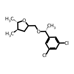 C[C@@H]1CC(CO[C@H](C)c2cc(Cl)cc(Cl)c2)O[C@H]1C